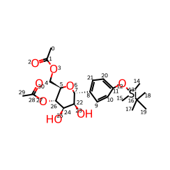 CC(=O)OC[C@H]1O[C@H](c2ccc(O[Si](C)(C)C(C)(C)C)cc2)[C@@H](O)[C@@H](O)[C@@H]1OC(C)=O